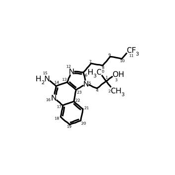 CC(C)(O)Cn1c(CCCCC(F)(F)F)nc2c(N)nc3ccccc3c21